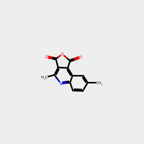 Cc1ccc2nc(C)c3c(c2c1)C(=O)OC3=O